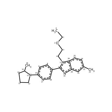 CCOCCn1c(-c2ccc(N3CCCC3C)nc2)nc2cc(C)cnc21